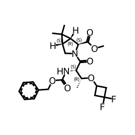 COC(=O)[C@@H]1[C@@H]2[C@H](CN1C(=O)[C@@H](NC(=O)OCc1ccccc1)[C@@H](C)OC1CC(F)(F)C1)C2(C)C